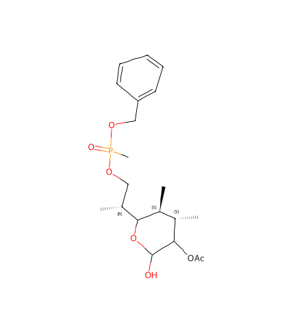 CC(=O)OC1C(O)OC([C@H](C)COP(C)(=O)OCc2ccccc2)[C@@H](C)[C@@H]1C